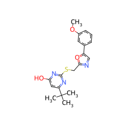 COc1cccc(-c2cnc(CSc3nc(O)cc(C(C)(C)C)n3)o2)c1